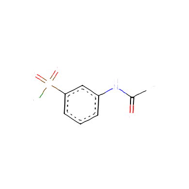 O=C(Nc1cccc(S(=O)(=O)Cl)c1)C(F)(F)F